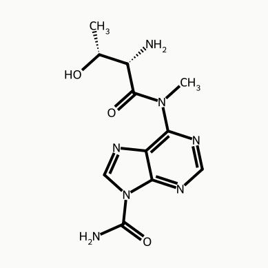 C[C@@H](O)[C@H](N)C(=O)N(C)c1ncnc2c1ncn2C(N)=O